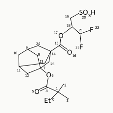 CCC(C)(C)C(=O)OC12CC3CC(C1)CC(C(=O)OC(CS(=O)(=O)O)C(F)F)(C3)C2